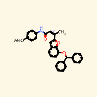 COc1ccc(NC(=O)/C=C(/C)c2cc3cccc(OC(c4ccccc4)c4ccccc4)c3o2)cc1